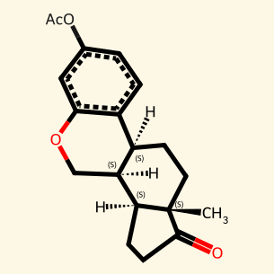 CC(=O)Oc1ccc2c(c1)OC[C@H]1[C@@H]2CC[C@]2(C)C(=O)CC[C@@H]12